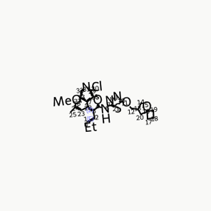 CC/C=C/C(C(=O)Nc1nnc(OCC2COC3(CCC3)C2)s1)=C(\C=C(C)C)c1cc(Cl)ncc1OC